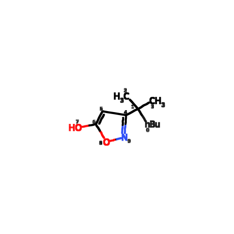 CCCCC(C)(C)c1cc(O)on1